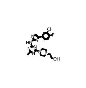 Cc1nc(Nc2ncc(-c3ccc(F)c(Cl)c3)s2)nc(N2CCN(CCO)CC2)n1